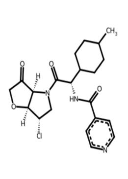 CC1CCC([C@H](NC(=O)c2ccncc2)C(=O)N2C[C@H](Cl)[C@H]3OCC(=O)[C@H]32)CC1